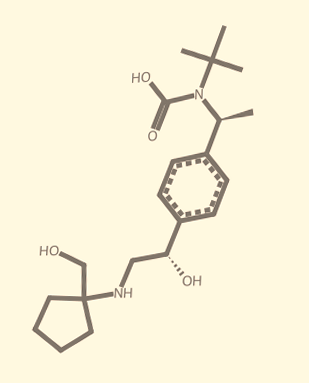 C[C@@H](c1ccc([C@H](O)CNC2(CO)CCCC2)cc1)N(C(=O)O)C(C)(C)C